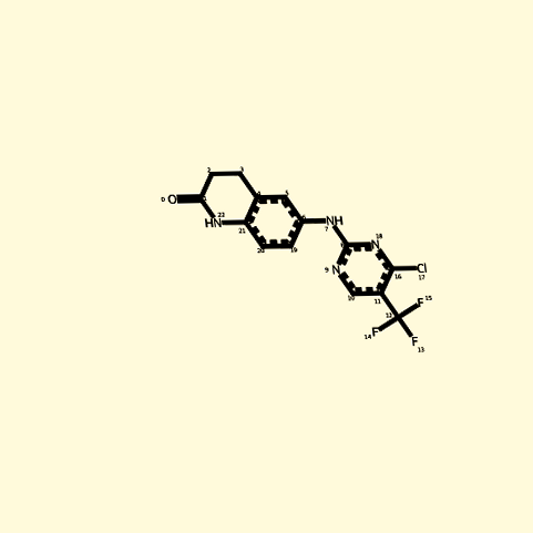 O=C1CCc2cc(Nc3ncc(C(F)(F)F)c(Cl)n3)ccc2N1